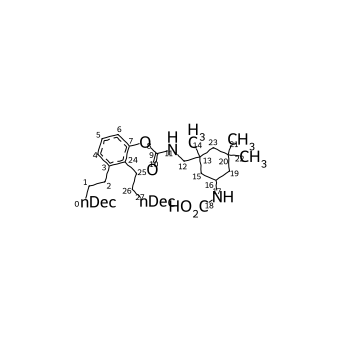 CCCCCCCCCCCCc1cccc(OC(=O)NCC2(C)CC(NC(=O)O)CC(C)(C)C2)c1CCCCCCCCCCCC